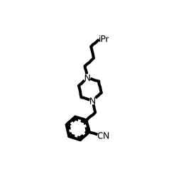 CC(C)CCCN1CCN(Cc2ccccc2C#N)CC1